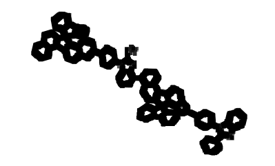 CCCc1nc2c(-c3cccc4c5c(ccc34)C3(c4ccccc4-c4ccccc43)c3c-5ccc4cc(-c5ccc(-n6c(-c7ccccc7)nc7ccccc76)cc5)ccc34)cccc2n1-c1ccc(-c2ccc3c4c(ccc3c2)-c2c(ccc3ccccc23)C42c3ccccc3-c3ccccc32)cc1